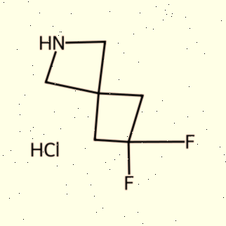 Cl.FC1(F)CC2(CNC2)C1